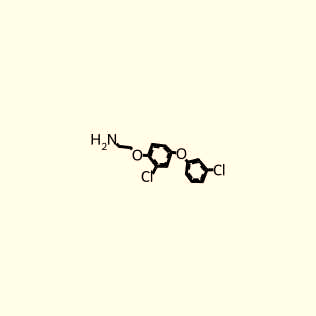 NCCOc1ccc(Oc2cccc(Cl)c2)cc1Cl